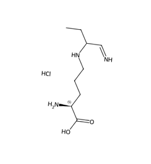 CCC(C=N)NCCC[C@H](N)C(=O)O.Cl